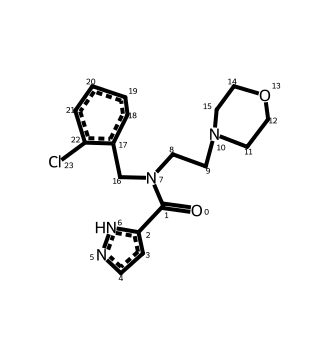 O=C(c1ccn[nH]1)N(CCN1CCOCC1)Cc1ccccc1Cl